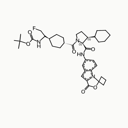 CC(C)(C)OC(=O)NC(CF)[C@H]1CC[C@H](C(=O)N2CC[C@@H](C3CCCCC3)[C@H]2C(=O)Nc2ccc3c(c2)cc2n3C3(CCC3)OC2=O)CC1